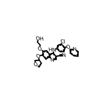 N#Cc1cnc2cc(OC3CCOC3)c(OCCO)cc2c1Nc1ccc(Oc2ccccn2)c(Cl)c1